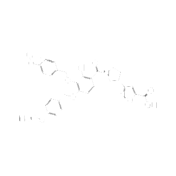 COc1ccc(COc2ccc(C(=O)N3CC[C@@H](c4cc(C(=O)O)on4)C3)c(Cl)c2OCc2ccc(OC)cc2)cc1